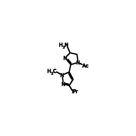 CC(=O)N1CC(N)N=C1c1cc(C(C)C)nn1C